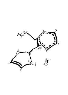 Pc1ccccc1C1NC=CO1.[Ir]